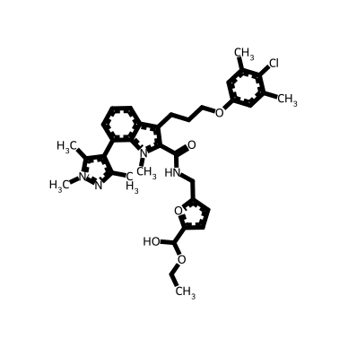 CCOC(O)c1ccc(CNC(=O)c2c(CCCOc3cc(C)c(Cl)c(C)c3)c3cccc(-c4c(C)nn(C)c4C)c3n2C)o1